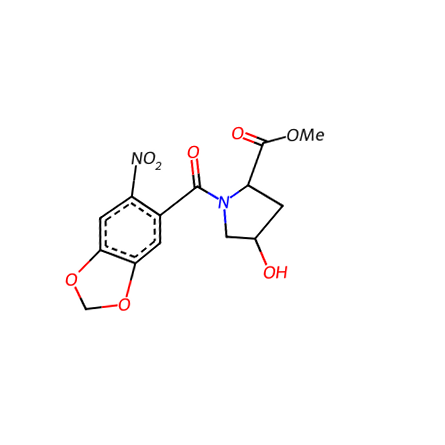 COC(=O)C1CC(O)CN1C(=O)c1cc2c(cc1[N+](=O)[O-])OCO2